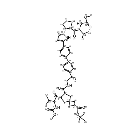 COC(=O)NC(C(=O)N1CC2(CC1C(=O)NCC(=O)c1ccc(-c3ccc(-c4cnc([C@@H]5CCCN5C(=O)[C@@H](NC(=O)OC)C(C)C)[nH]4)cc3)cc1)CN(C(=O)OC(C)(C)C)C2)C(C)C